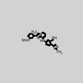 COc1cccc(-c2nc3c(Nc4ccc(-c5cnc(C)s5)c(CO)c4)cccn3c2C)c1